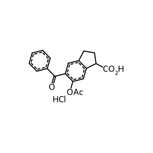 CC(=O)Oc1cc2c(cc1C(=O)c1ccccc1)CCC2C(=O)O.Cl